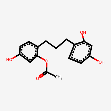 CC(=O)Oc1cc(O)ccc1CCCc1ccc(O)cc1O